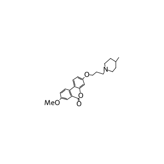 COc1ccc2c(c1)c(=O)oc1cc(OCCCN3CCC(C)CC3)ccc12